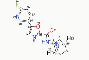 O=C(N[C@@H]1C[C@H]2CC[C@@H]1N2)c1ncc(-c2ccc(F)nc2)o1